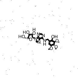 COc1cc(CNc2ncnc3c2ncn3C2O[C@H](CO)[C@@H](O)[C@@H]2O)c(O)c(OC)c1OC